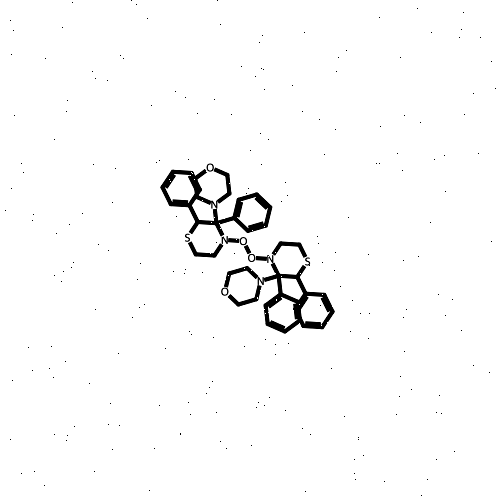 c1ccc(C2SCCN(OON3CCSC(c4ccccc4)C3(c3ccccc3)N3CCOCC3)C2(c2ccccc2)N2CCOCC2)cc1